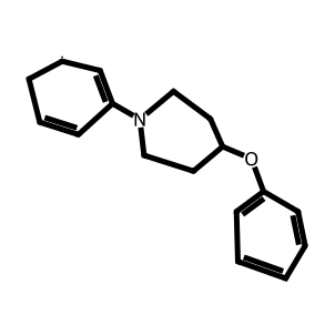 [CH]1C=C(N2CCC(Oc3ccccc3)CC2)C=CC1